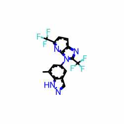 Cc1cc(-n2c(C(F)(F)F)nc3ccc(C(F)(F)F)nc32)cc2cn[nH]c12